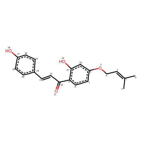 CC(C)=CCOc1ccc(C(=O)C=Cc2ccc(O)cc2)c(O)c1